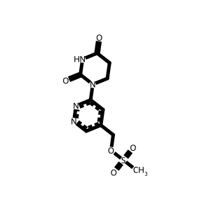 CS(=O)(=O)OCc1cnnc(N2CCC(=O)NC2=O)c1